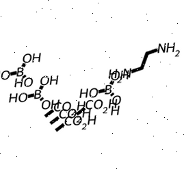 CC(=O)O.CC(=O)O.CC(=O)O.CC(=O)O.NCCN.OB(O)O.OB(O)O.OB(O)O